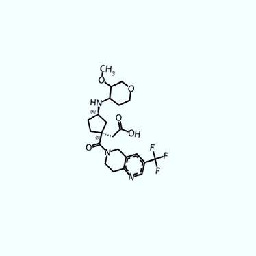 COC1COCCC1N[C@@H]1CC[C@](CC(=O)O)(C(=O)N2CCc3ncc(C(F)(F)F)cc3C2)C1